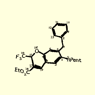 CCCCCc1cc2c(cc1Cc1ccccc1)OC(C(F)(F)F)C(C(=O)OCC)=C2